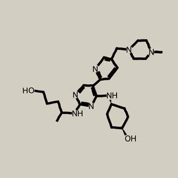 CC(CCCO)Nc1ncc(-c2ccc(CN3CCN(C)CC3)cn2)c(N[C@H]2CC[C@H](O)CC2)n1